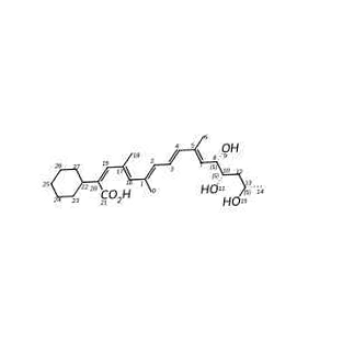 CC(=CC=CC(C)=C[C@H](O)[C@@H](O)C[C@H](C)O)C=C(C)C=C(C(=O)O)C1CCCCC1